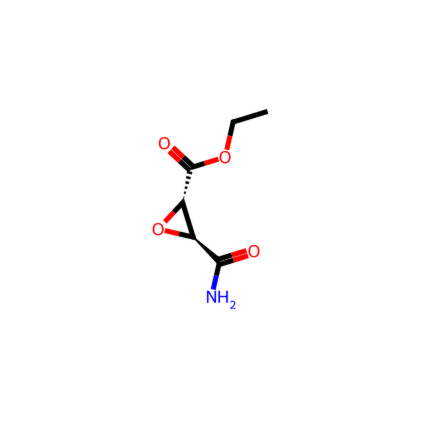 CCOC(=O)[C@H]1O[C@@H]1C(N)=O